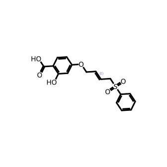 O=C(O)c1ccc(OC/C=C/CS(=O)(=O)c2ccccc2)cc1O